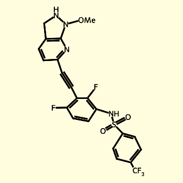 CON1NCc2ccc(C#Cc3c(F)ccc(NS(=O)(=O)c4ccc(C(F)(F)F)cc4)c3F)nc21